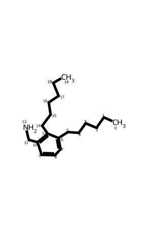 CCCCCCc1cccc(CN)c1CCCCCC